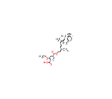 CCOc1cc(C(=O)OCC=C(C)C=CC=C(C)C=CC2=C(C)CCCC2(C)C)cnc1C(=O)O